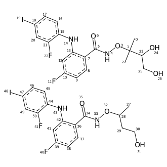 CC(C)(ONC(=O)c1ccc(F)cc1Nc1ccc(I)cc1F)C(O)CO.CC(CCO)ONC(=O)c1ccc(F)cc1Nc1ccc(I)cc1F